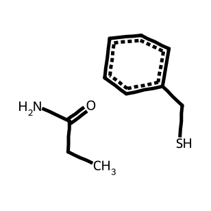 CCC(N)=O.SCc1ccccc1